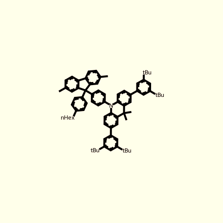 CCCCCCc1ccc(C2(c3ccc(N4c5ccc(-c6cc(C(C)(C)C)cc(C(C)(C)C)c6)cc5C(C)(C)c5cc(-c6cc(C(C)(C)C)cc(C(C)(C)C)c6)ccc54)cc3)c3cc(C)ccc3-c3ccc(C)cc32)cc1